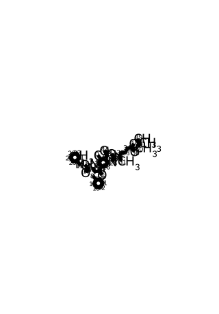 Cc1c(N)c(C(=O)[C@H](Cc2ccccc2)NC(=O)OCc2ccccc2)cc2nc(N(C)CCCC(=O)OC(C)(C)C)oc(=O)c12